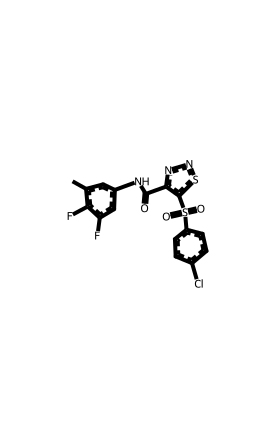 Cc1cc(NC(=O)c2nnsc2S(=O)(=O)c2ccc(Cl)cc2)cc(F)c1F